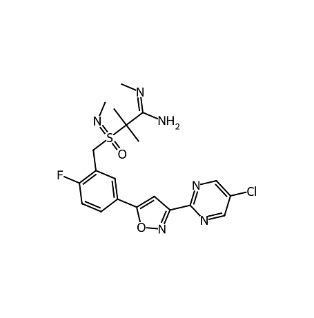 CN=S(=O)(Cc1cc(-c2cc(-c3ncc(Cl)cn3)no2)ccc1F)C(C)(C)/C(N)=N\C